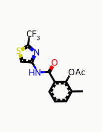 CC(=O)Oc1c(C)cccc1C(=O)Nc1csc(C(F)(F)F)n1